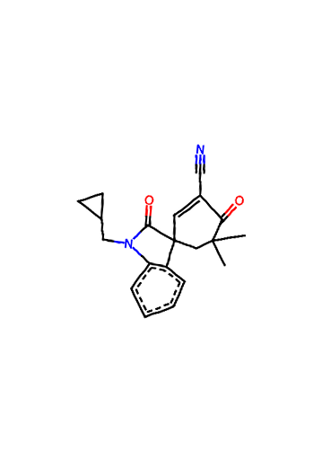 CC1(C)CC2(C=C(C#N)C1=O)C(=O)N(CC1CC1)c1ccccc12